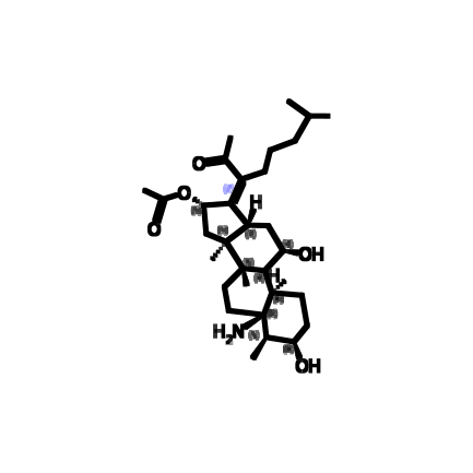 CC(=O)O[C@H]1C[C@@]2(C)[C@@H](C[C@@H](O)[C@@H]3[C@]2(C)CC[C@@]2(N)[C@H](C)[C@H](O)CC[C@]32C)/C1=C(\CCCC(C)C)C(C)=O